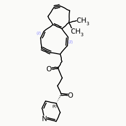 CC1(C)CC#CCC2=C1/C=C\C(CC(=O)CCC(=O)[C@H]1C=CN=CC1)C#C/C=C\2